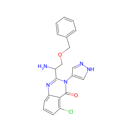 NC(COCc1ccccc1)c1nc2cccc(Cl)c2c(=O)n1-c1cn[nH]c1